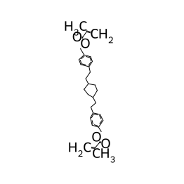 C=C(C)C(=O)OCc1ccc(CCC2CCC(CCc3ccc(COC(=O)C(=C)C)cc3)CC2)cc1